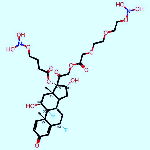 C[C@]12C=CC(=O)C=C1[C@@H](F)CC1C3C[C@@H](O)[C@](OC(=O)CCCON(O)O)(C(=O)COC(=O)COCCOCCON(O)O)[C@@]3(C)C[C@H](O)[C@@]12F